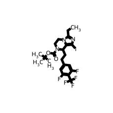 CCc1nc(I)c2n1CCN(C(=O)OC(C)(C)C)C2CCc1cc(F)c(C(F)(F)F)c(F)c1